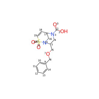 O=C(O)N1CC(COCc2ccccc2)N2CC1C=CS2(=O)=O